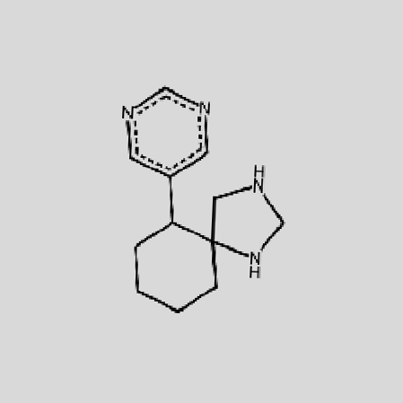 c1ncc(C2CCCCC23CNCN3)cn1